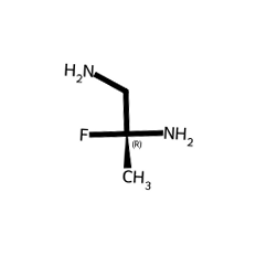 C[C@@](N)(F)CN